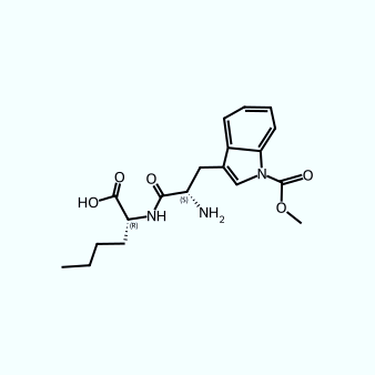 CCCC[C@@H](NC(=O)[C@@H](N)Cc1cn(C(=O)OC)c2ccccc12)C(=O)O